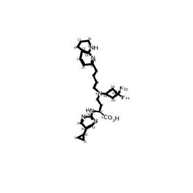 O=C(O)[C@H](CCN(CCCCc1ccc2c(n1)NCCC2)C1CC(F)(F)C1)Nc1ncc(C2CC2)cn1